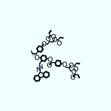 C=CC(=O)OCC(COc1ccc(C(=O)Oc2ccc(O/C(=C/C)c3ccc(OCC(COC(=O)C=C)OC(=O)C=C)cc3)c(/C=N/N=C3c4ccccc4-c4ccccc43)c2)cc1)OC(=O)C=C